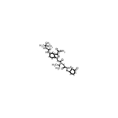 CC(C)N(CC(=O)NCc1cccc(Cl)c1F)C(=O)Cn1nc(C(N)=O)c2cc(NC(=O)NC(C)(C)C)ccc21